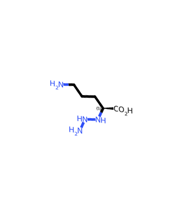 NCCC[C@H](NNN)C(=O)O